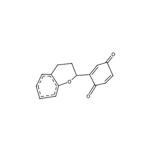 O=C1C=CC(=O)C(C2CCc3ccccc3O2)=C1